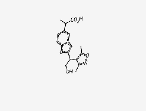 Cc1noc(C)c1C(CO)c1cc2cc(C(C)C(=O)O)ccc2o1